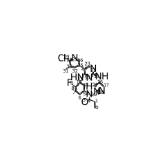 C=CC(=O)Nc1ccc(F)c(Nc2nc(Nc3cnn(C)c3)ncc2-c2cnc(Cl)c(C)c2)c1